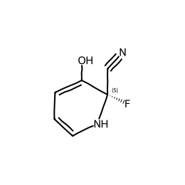 N#C[C@@]1(F)NC=CC=C1O